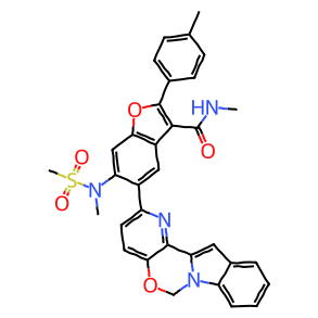 CNC(=O)c1c(-c2ccc(C)cc2)oc2cc(N(C)S(C)(=O)=O)c(-c3ccc4c(n3)-c3cc5ccccc5n3CO4)cc12